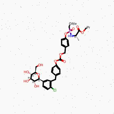 COCP(=O)(N[C@@H](C)C(=O)OC(C)C)Oc1ccc(COC(=O)Oc2ccc(Cc3cc([C@@H]4O[C@H](CO)[C@@H](O)[C@H](O)[C@H]4O)ccc3Cl)cc2)cc1